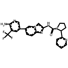 Nc1ncc(-c2ccc3nc(NC(=O)N4CCCC4c4ccccn4)cn3c2)cc1C(F)(F)F